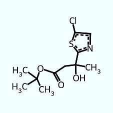 CC(C)(C)OC(=O)CC(C)(O)c1ncc(Cl)s1